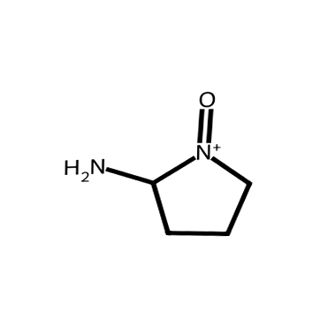 NC1CCC[N+]1=O